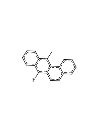 Cc1c2ccccc2c(F)c2ccc3ccccc3c12